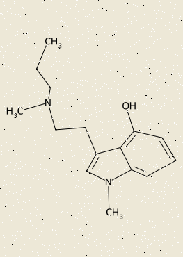 CCCN(C)CCc1cn(C)c2cccc(O)c12